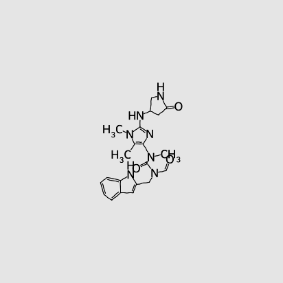 Cc1c(N(C)C(=O)N(C=O)Cc2cc3ccccc3[nH]2)nc(NC2CNC(=O)C2)n1C